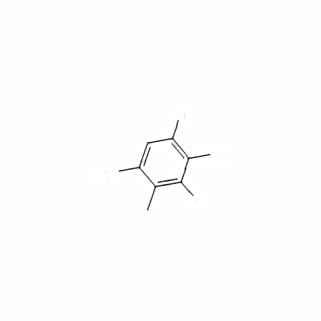 Cc1c(C(=O)O)cc(Cl)c(C(C)(C)C)c1Cl